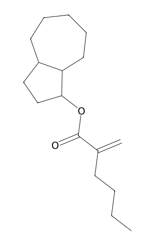 C=C(CCCC)C(=O)OC1CCC2CCCCCC21